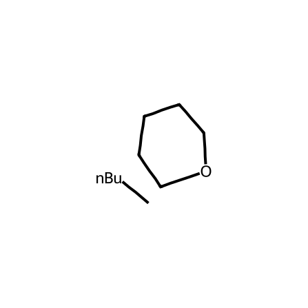 C1CCOCC1.CCCCC